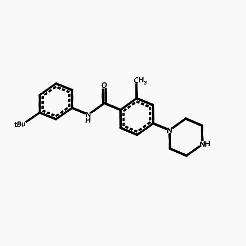 Cc1cc(N2CCNCC2)ccc1C(=O)Nc1cccc(C(C)(C)C)c1